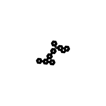 C1=CC2CC=C3C=C(N(c4ccccc4)c4ccc(-c5ccc(-c6cc(-c7ccccc7)ccc6-c6ccccc6)cc5)cc4)C=CC3C2C=C1